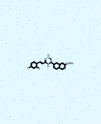 COc1ccc2ccc([C@H](CO)NC(=O)C=Cc3ccc(F)cc3F)cc2c1